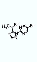 CC(Br)c1ncnn1-c1ncc(Br)cn1